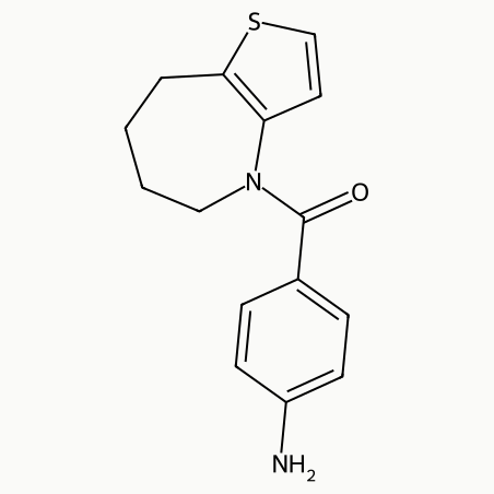 Nc1ccc(C(=O)N2CCCCc3sccc32)cc1